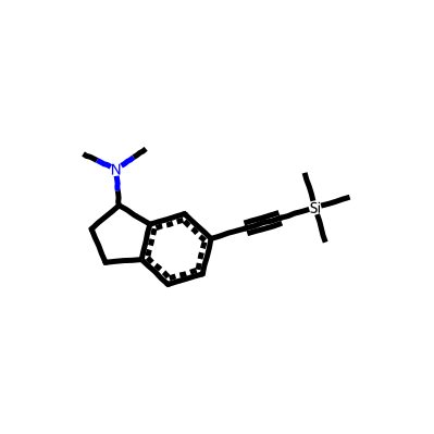 CN(C)C1CCc2ccc(C#C[Si](C)(C)C)cc21